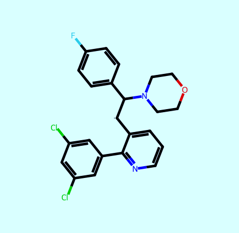 Fc1ccc([C]([CH]c2cccnc2-c2cc(Cl)cc(Cl)c2)N2CCOCC2)cc1